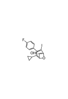 O=Cc1c2c(I)c(-c3ccc(F)cc3)c(C3CC3)c1O2